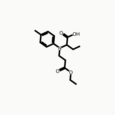 CCOC(=O)CCN(c1ccc(C)cc1)C(CC)C(=O)O